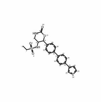 CCS(=O)(=O)NC1CNC(=O)OC1c1ccc(-c2ccc(-c3ccsc3)cc2)cc1